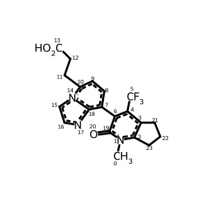 Cn1c2c(c(C(F)(F)F)c(-c3ccc(CCC(=O)O)n4ccnc34)c1=O)CCC2